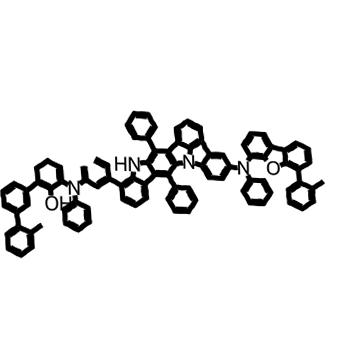 C=C/C(=C\C(=C)N(C1=CCCC(c2cccc(-c3ccccc3C)c2)=C1O)c1ccccc1)c1cccc2c1[nH]c1c(-c3ccccc3)c3c4cccc5c6cc(N(c7ccccc7)c7cccc8c7oc7c(-c9ccccc9C)cccc78)ccc6n(c3c(-c3ccccc3)c12)c54